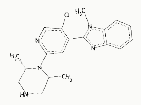 CC1CNC[C@H](C)N1c1cc(-c2nc3ccccc3n2C)c(Cl)cn1